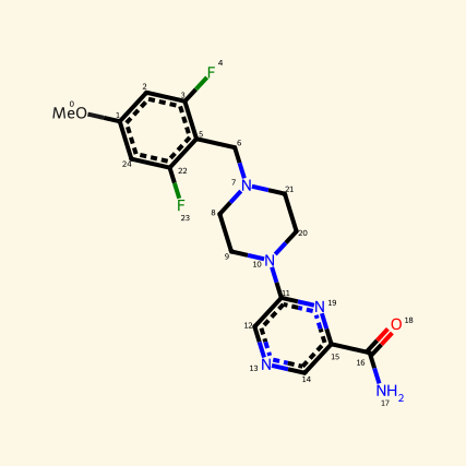 COc1cc(F)c(CN2CCN(c3cncc(C(N)=O)n3)CC2)c(F)c1